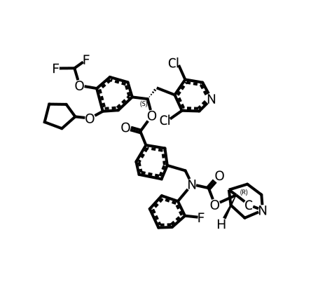 O=C(O[C@@H](Cc1c(Cl)cncc1Cl)c1ccc(OC(F)F)c(OC2CCCC2)c1)c1cccc(CN(C(=O)O[C@H]2CN3CCC2CC3)c2ccccc2F)c1